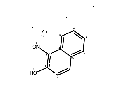 O=Nc1c(O)ccc2ccccc12.[Zn]